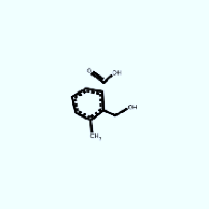 Cc1ccccc1CO.O=CO